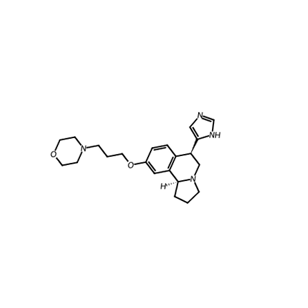 c1ncc([C@H]2CN3CCC[C@H]3c3cc(OCCCN4CCOCC4)ccc32)[nH]1